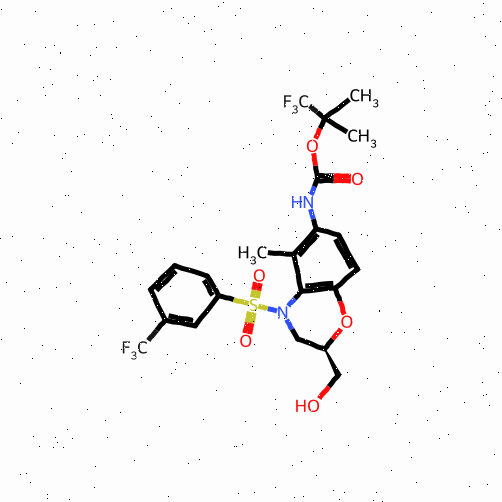 Cc1c(NC(=O)OC(C)(C)C(F)(F)F)ccc2c1N(S(=O)(=O)c1cccc(C(F)(F)F)c1)C[C@H](CO)O2